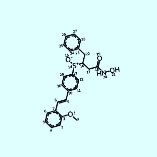 COc1ccccc1/C=C/c1ccc([S+]([O-])C(CC(=O)NO)Cc2ccccc2)cc1